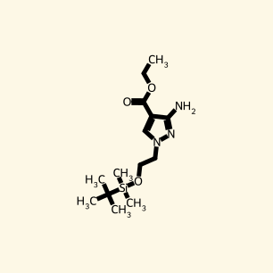 CCOC(=O)c1cn(CCO[Si](C)(C)C(C)(C)C)nc1N